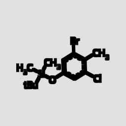 Cc1c(Cl)cc(O[Si](C)(C)C(C)(C)C)cc1Br